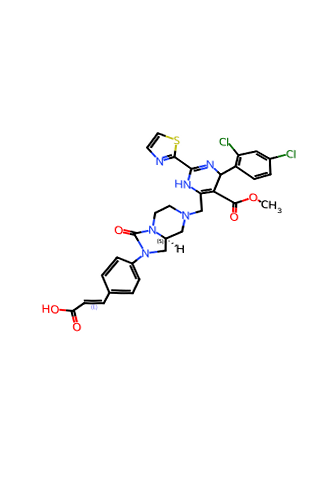 COC(=O)C1=C(CN2CCN3C(=O)N(c4ccc(/C=C/C(=O)O)cc4)C[C@@H]3C2)NC(c2nccs2)=NC1c1ccc(Cl)cc1Cl